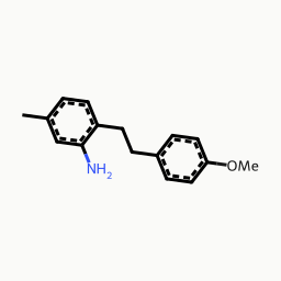 COc1ccc(CCc2ccc(C)cc2N)cc1